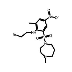 Cc1cc([N+](=O)[O-])cc(S(=O)(=O)N2CCCN(C)CC2)c1NCCBr